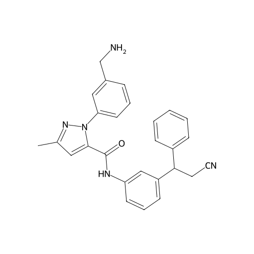 Cc1cc(C(=O)Nc2cccc(C(CC#N)c3ccccc3)c2)n(-c2cccc(CN)c2)n1